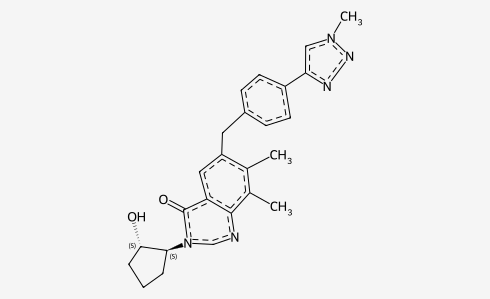 Cc1c(Cc2ccc(-c3cn(C)nn3)cc2)cc2c(=O)n([C@H]3CCC[C@@H]3O)cnc2c1C